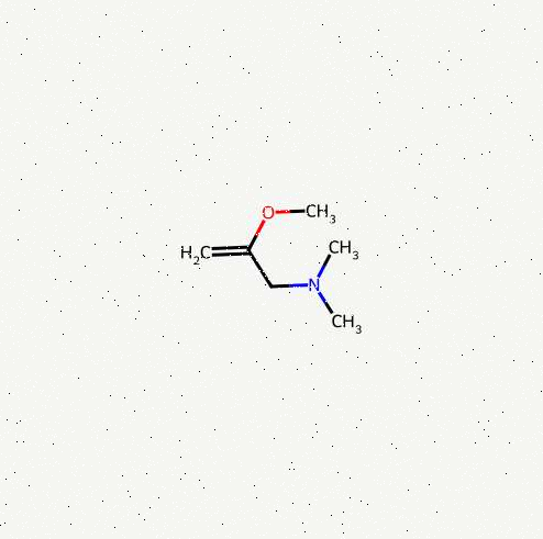 C=C(CN(C)C)OC